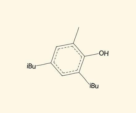 CCC(C)c1cc(C)c(O)c(C(C)CC)c1